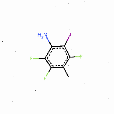 Cc1c(F)c(F)c(N)c(I)c1F